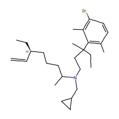 C=C[C@@H](CC)CCCC(C)N(CCC(C)(CC)c1c(C)ccc(Br)c1C)CC1CC1